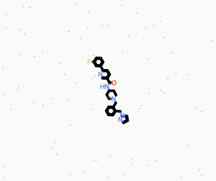 O=C(NC1CCN(Cc2ccccc2Cn2cccn2)CC1)c1ccc(-c2cccc(F)c2)nc1